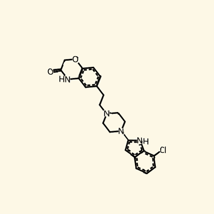 O=C1COc2ccc(CCN3CCN(c4cc5cccc(Cl)c5[nH]4)CC3)cc2N1